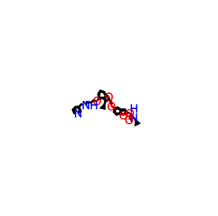 O=C(NC1CC1)Oc1cc2cc(OCc3oc4cccc(OCCCNCc5cccnc5)c4c3C3CC3)ccc2o1